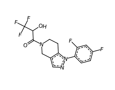 O=C(C(O)C(F)(F)F)N1CCc2c(cnn2-c2ccc(F)cc2F)C1